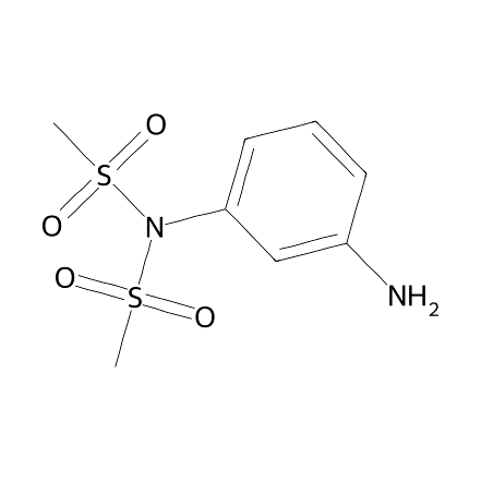 CS(=O)(=O)N(c1cccc(N)c1)S(C)(=O)=O